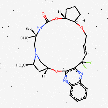 CC(C)(C)[C@]1(C=O)CN2C[C@@H](C[C@H]2C(=O)O)Oc2nc3ccccc3nc2C(F)(F)/C=C/CO[C@@H]2CCC[C@H]2OC(=O)N1